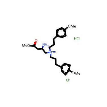 COC(=O)CC(N)C[N+](C)(CCCc1ccc(OC)cc1)CCCc1ccc(OC)cc1.Cl.[Cl-]